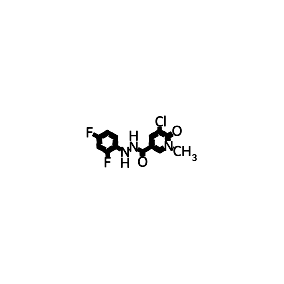 Cn1cc(C(=O)NNc2ccc(F)cc2F)cc(Cl)c1=O